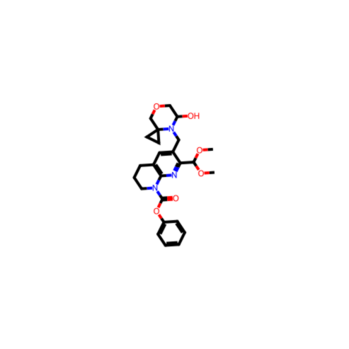 COC(OC)c1nc2c(cc1CN1C(O)COCC13CC3)CCCN2C(=O)Oc1ccccc1